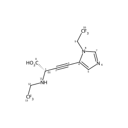 O=C(O)[C@H](C#Cc1cncn1CC(F)(F)F)NCC(F)(F)F